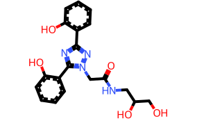 O=C(Cn1nc(-c2ccccc2O)nc1-c1ccccc1O)NCC(O)CO